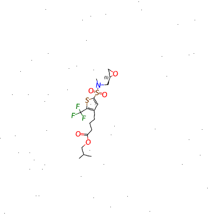 CC(C)COC(=O)CCCc1cc(S(=O)(=O)N(C)C[C@H]2CO2)sc1C(F)(F)F